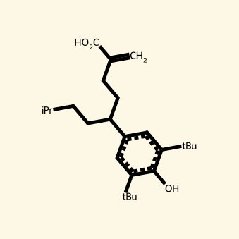 C=C(CCC(CCC(C)C)c1cc(C(C)(C)C)c(O)c(C(C)(C)C)c1)C(=O)O